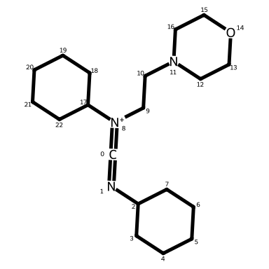 C(=NC1CCCCC1)=[N+](CCN1CCOCC1)C1CCCCC1